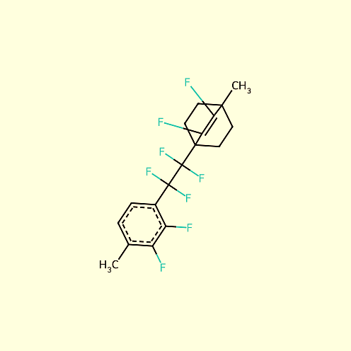 Cc1ccc(C(F)(F)C(F)(F)C23CCC(C)(CC2)C(F)=C3F)c(F)c1F